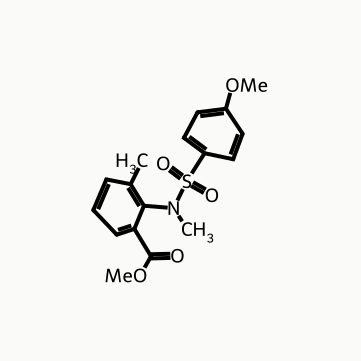 COC(=O)c1cccc(C)c1N(C)S(=O)(=O)c1ccc(OC)cc1